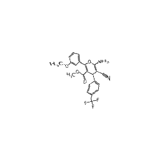 COC(=O)C1=C(c2cccc(OC)c2)OC(N)=C(C#N)C1c1ccc(C(F)(F)F)cc1